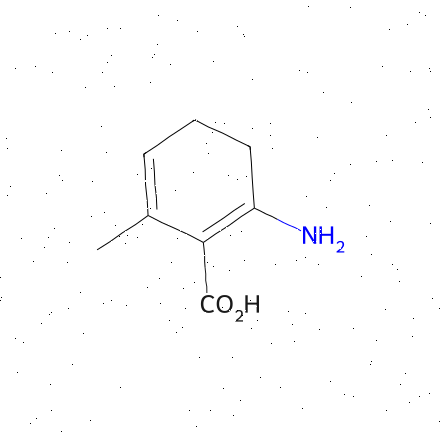 CC1=CCCC(N)=C1C(=O)O